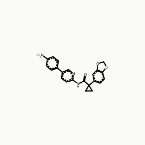 Nc1ccc(-c2ccc(NC(=O)C3(c4ccc5c(c4)OCO5)CC3)nc2)cc1